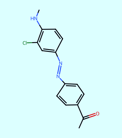 CNc1ccc(N=Nc2ccc(C(C)=O)cc2)cc1Cl